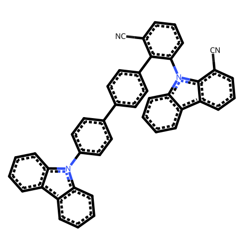 N#Cc1cccc(-n2c3ccccc3c3cccc(C#N)c32)c1-c1ccc(-c2ccc(-n3c4ccccc4c4ccccc43)cc2)cc1